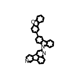 c1cc2c3c(cc(-n4c5ccccc5c5cc(-c6ccc7oc8ccccc8c7c6)ccc54)nc3c1)-c1ccncc1-2